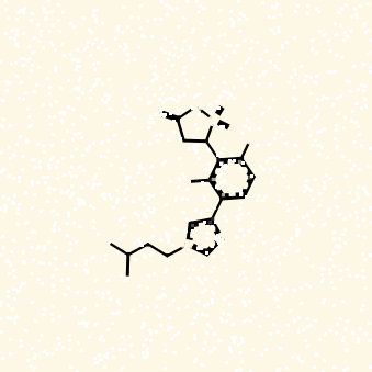 CC(C)CCn1cnc(-c2ccc(O)c(C3CC(=O)NS3(=O)=O)c2F)c1